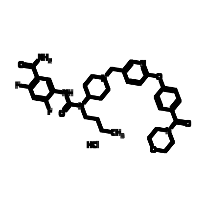 CCCCN(C(=O)Nc1cc(C(N)=O)c(F)cc1F)C1CCN(Cc2ccc(Oc3ccc(C(=O)N4CCOCC4)cc3)nc2)CC1.Cl